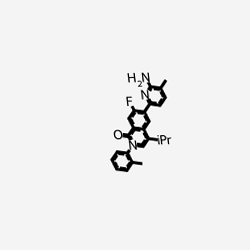 Cc1ccccc1-n1cc(C(C)C)c2cc(-c3ccc(C)c(N)n3)c(F)cc2c1=O